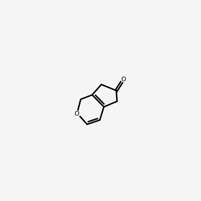 O=C1CC2=C(COC=C2)C1